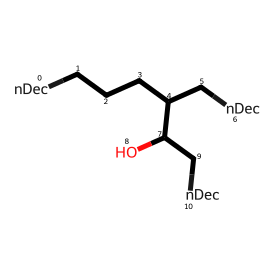 CCCCCCCCCCCCCC(CCCCCCCCCCC)C(O)CCCCCCCCCCC